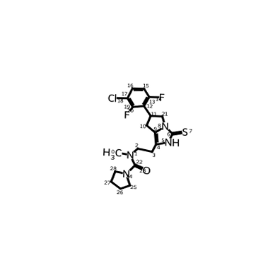 CN(CCc1[nH]c(=S)n2c1CC(c1c(F)ccc(Cl)c1F)C2)C(=O)N1CCCC1